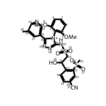 COc1cccc(OC)c1-n1c(NS(=O)(=O)CC(O)c2ccc(C#N)cc2S(C)(=O)=O)nnc1-c1cncc(C)c1